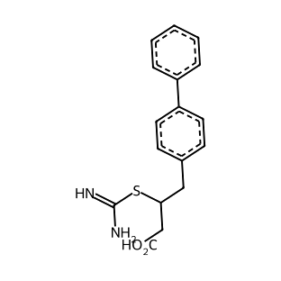 N=C(N)SC(CC(=O)O)Cc1ccc(-c2ccccc2)cc1